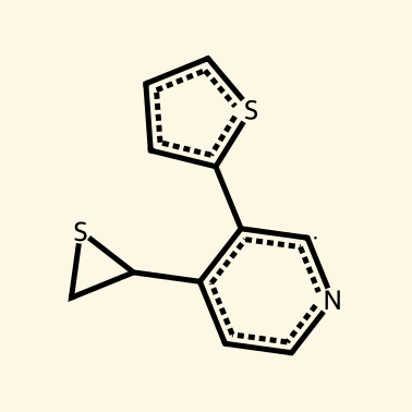 [c]1nccc(C2CS2)c1-c1cccs1